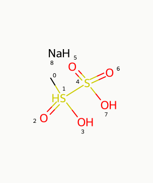 C[SH](=O)(O)S(=O)(=O)O.[NaH]